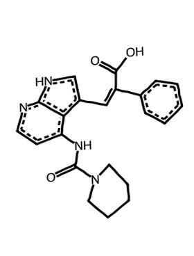 O=C(O)C(=Cc1c[nH]c2nccc(NC(=O)N3CCCCC3)c12)c1ccccc1